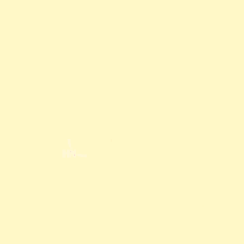 CCS(=O)(=O)c1ccc(CC(=O)NC2CCC(c3ccccc3)CC2)cc1